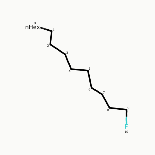 CCCCCCCCCCCCCCCF